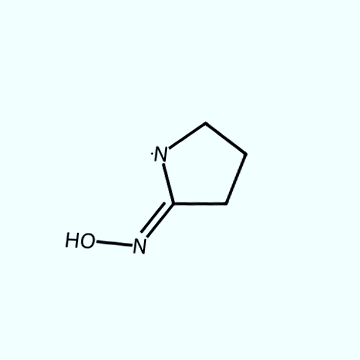 O/N=C1/CCC[N]1